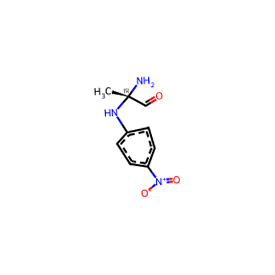 C[C@@](N)(C=O)Nc1ccc([N+](=O)[O-])cc1